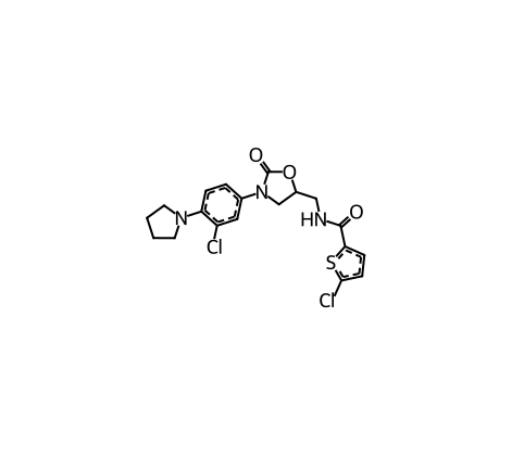 O=C(NCC1CN(c2ccc(N3CCCC3)c(Cl)c2)C(=O)O1)c1ccc(Cl)s1